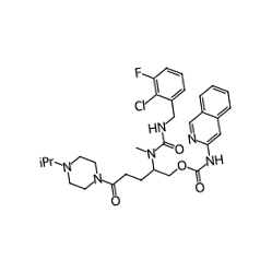 CC(C)N1CCN(C(=O)CCC(COC(=O)Nc2cc3ccccc3cn2)N(C)C(=O)NCc2cccc(F)c2Cl)CC1